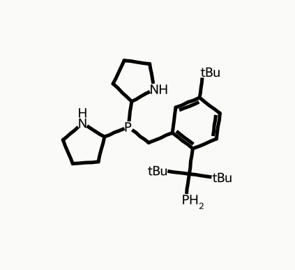 CC(C)(C)c1ccc(C(P)(C(C)(C)C)C(C)(C)C)c(CP(C2CCCN2)C2CCCN2)c1